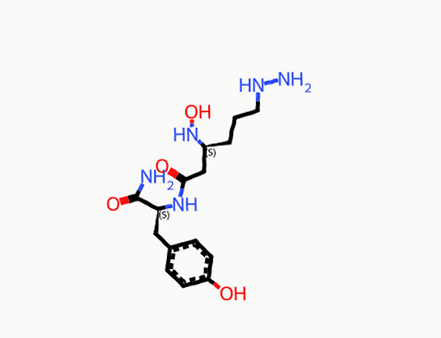 NNCCC[C@@H](CC(=O)N[C@@H](Cc1ccc(O)cc1)C(N)=O)NO